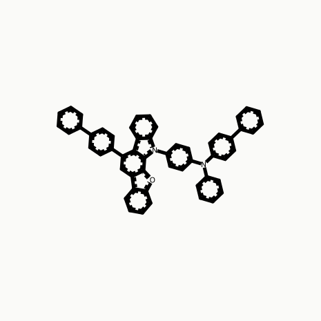 c1ccc(-c2ccc(-c3cc4c5ccccc5oc4c4c3c3ccccc3n4-c3ccc(N(c4ccccc4)c4ccc(-c5ccccc5)cc4)cc3)cc2)cc1